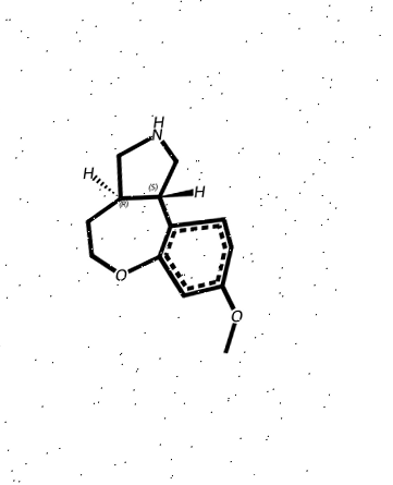 COc1ccc2c(c1)OCC[C@H]1CNC[C@H]21